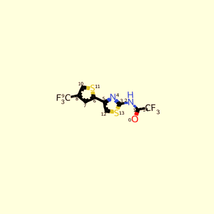 O=C(Nc1nc(-c2cc(C(F)(F)F)cs2)cs1)C(F)(F)F